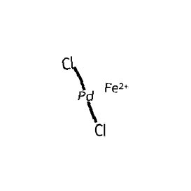 [Cl][Pd][Cl].[Fe+2]